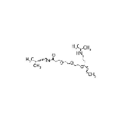 CSS[C@@H](CCCNC(C)C)OCCOCCOCCC(=O)NCC#CC(C)C